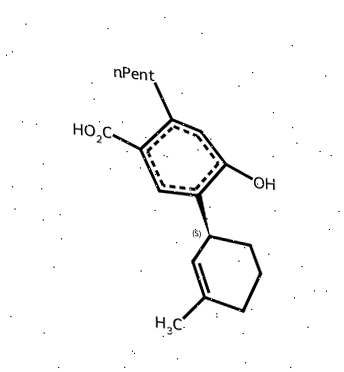 CCCCCc1cc(O)c([C@@H]2C=C(C)CCC2)cc1C(=O)O